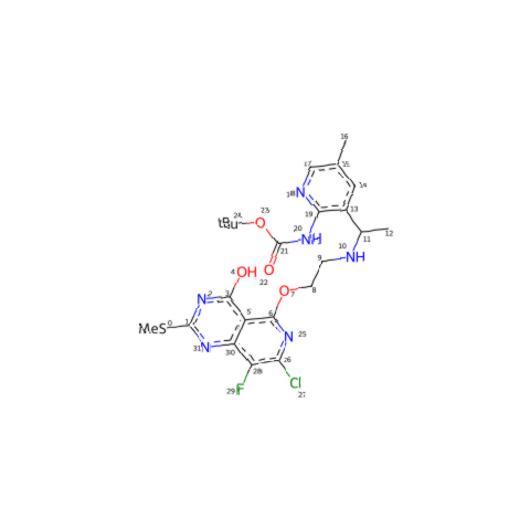 CSc1nc(O)c2c(OCCNC(C)c3cc(C)cnc3NC(=O)OC(C)(C)C)nc(Cl)c(F)c2n1